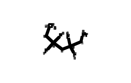 CC(C)CC(F)(F)CC(F)(F)CC(F)(F)F